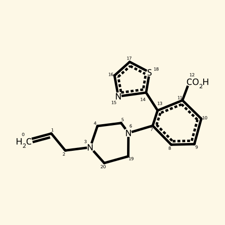 C=CCN1CCN(c2cccc(C(=O)O)c2-c2nccs2)CC1